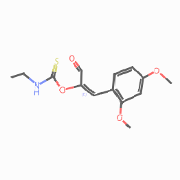 CCNC(=S)O/C(C=O)=C/c1ccc(OC)cc1OC